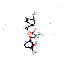 COc1ccnc(C(=O)NC(C)C(=O)OC2CC2c2ccc(C(C)(C)C)cc2)c1O